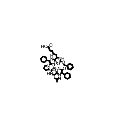 CC(C)C[C@H](NC(=O)[C@@H]1CCCN1C(=O)[C@@H](NC(=O)C(CCC=CC(=O)O)NC(=O)OCc1ccccc1)C1CCCCC1)C(=O)N[C@H](C(N)=O)C1CCCCC1